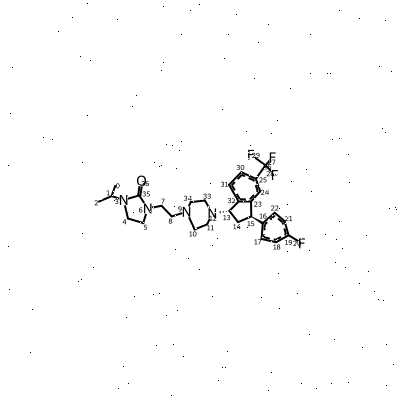 CC(C)N1CCN(CCN2CCN([C@H]3C[C@H](c4ccc(F)cc4)c4cc(C(F)(F)F)ccc43)CC2)C1=O